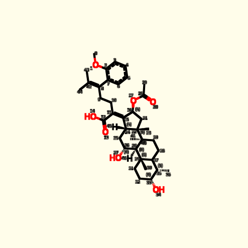 COc1ccccc1C(CCC(C(=O)O)=C1[C@@H](OC(C)=O)C[C@@]2(C)[C@@H]1C[C@@H](O)[C@@H]1[C@@]3(C)CC[C@@H](O)[C@@H](C)C3CC[C@@]12C)=C(C)C